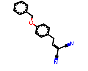 N#CC(C#N)=CCc1ccc(OCc2ccccc2)cc1